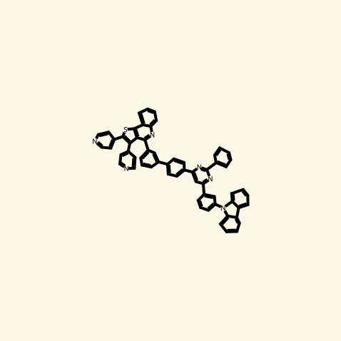 c1ccc(-c2nc(-c3ccc(-c4cccc(-c5nc6ccccc6c6sc(-c7ccncc7)c(-c7ccncc7)c56)c4)cc3)cc(-c3cccc(-n4c5ccccc5c5ccccc54)c3)n2)cc1